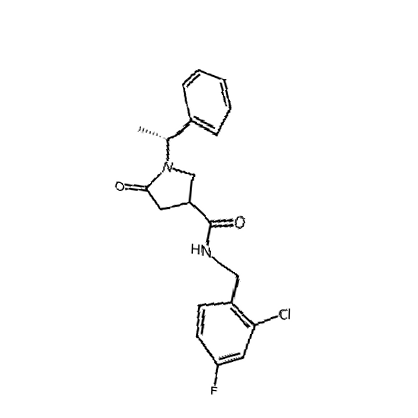 C[C@H](c1ccccc1)N1CC(C(=O)NCc2ccc(F)cc2Cl)CC1=O